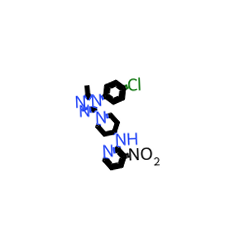 Cc1nnc(N2CCC(Nc3ncccc3[N+](=O)[O-])CC2)n1-c1ccc(Cl)cc1